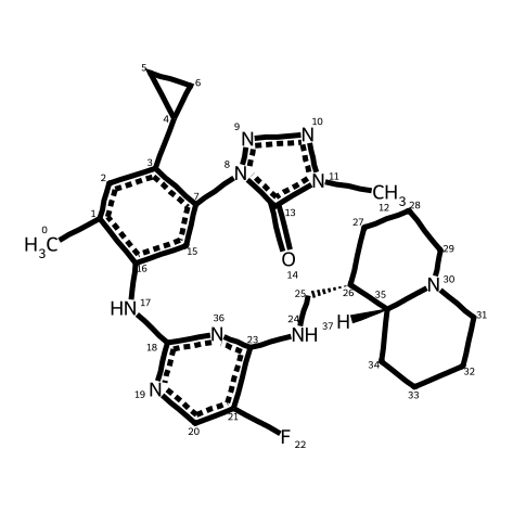 Cc1cc(C2CC2)c(-n2nnn(C)c2=O)cc1Nc1ncc(F)c(NC[C@@H]2CCCN3CCCC[C@H]23)n1